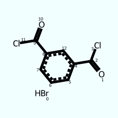 Br.O=C(Cl)c1cccc(C(=O)Cl)c1